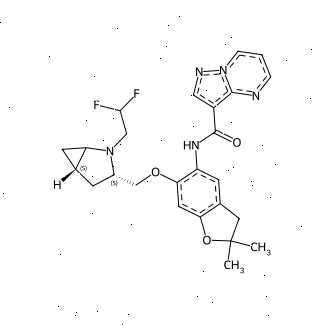 CC1(C)Cc2cc(NC(=O)c3cnn4cccnc34)c(OC[C@@H]3C[C@@H]4CC4N3CC(F)F)cc2O1